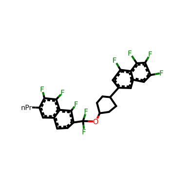 CCCc1cc2ccc(C(F)(F)OC3CCC(c4cc(F)c5c(F)c(F)c(F)cc5c4)CC3)c(F)c2c(F)c1F